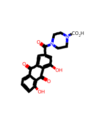 O=C1c2cccc(O)c2C(=O)c2c(O)cc(C(=O)N3CCN(C(=O)O)CC3)cc21